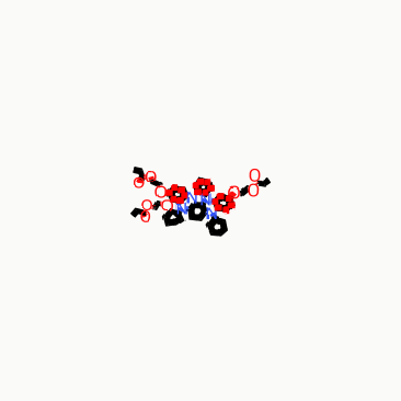 C=CC(=O)OCCOc1cccc(N(c2ccccc2)c2ccc(N(c3ccccc3)c3ccccc3)c(N(c3ccccc3)c3cccc(OCCOC(=O)C=C)c3)c2N(c2ccccc2)c2cccc(OCCOC(=O)C=C)c2)c1